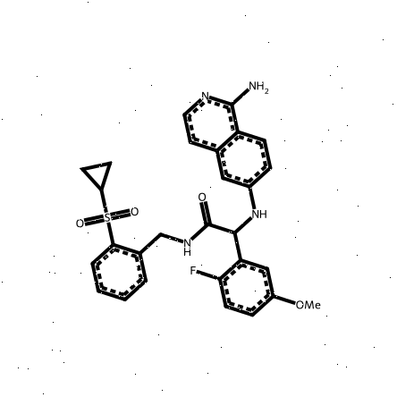 COc1ccc(F)c(C(Nc2ccc3c(N)nccc3c2)C(=O)NCc2ccccc2S(=O)(=O)C2CC2)c1